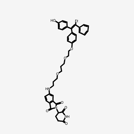 CCC(=C(c1ccc(O)cc1)c1ccc(OCCOCCCOCCCNc2ccc3c(c2)C(=O)N(C2CCC(=O)NC2=O)C3=O)cc1)c1ccccc1